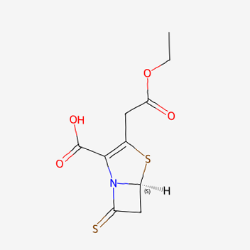 CCOC(=O)CC1=C(C(=O)O)N2C(=S)C[C@@H]2S1